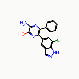 Nc1nc(-c2ccccc2)c(-c2cc(Cl)c3[nH]ncc3c2)nc1O